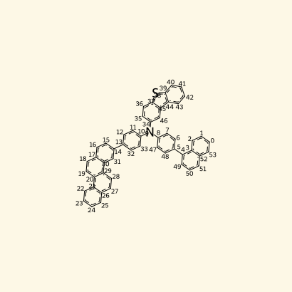 c1ccc2c(-c3ccc(N(c4ccc(-c5ccc6ccc7c8ccccc8ccc7c6c5)cc4)c4ccc5sc6ccccc6c5c4)cc3)cccc2c1